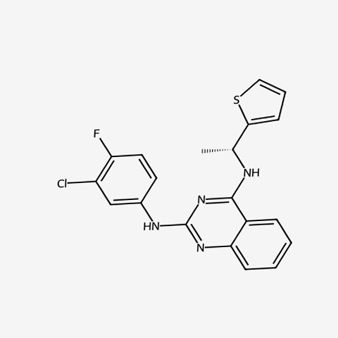 C[C@@H](Nc1nc(Nc2ccc(F)c(Cl)c2)nc2ccccc12)c1cccs1